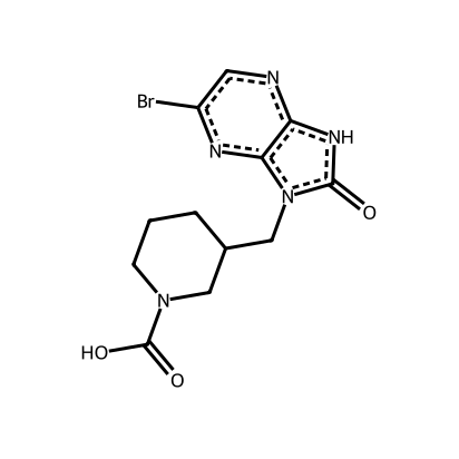 O=C(O)N1CCCC(Cn2c(=O)[nH]c3ncc(Br)nc32)C1